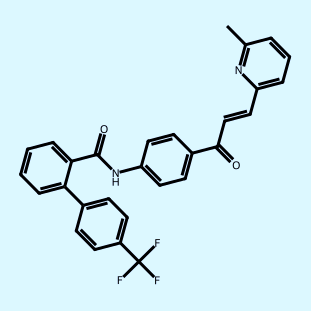 Cc1cccc(C=CC(=O)c2ccc(NC(=O)c3ccccc3-c3ccc(C(F)(F)F)cc3)cc2)n1